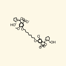 COc1cc(C(=O)N2CCC[C@H]2CO)c([N+](=O)[O-])cc1OCCCCCCCOc1cc([N+](=O)[O-])c(C(=O)N2CCC[C@H]2CO)cc1OC